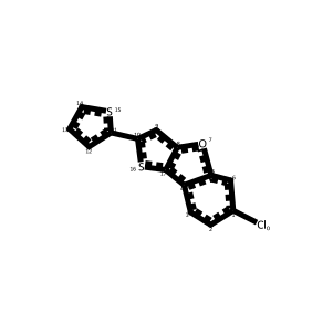 Clc1ccc2c(c1)oc1cc(-c3cccs3)sc12